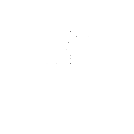 CCCCCc1cc(OCC(=O)O)c2c(c1)OC(C)(C)[C@@H]1CC=C(C)C[C@@H]21